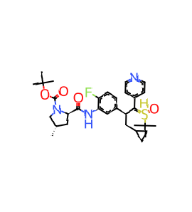 C[C@H]1C[C@H](C(=O)Nc2cc(C(CC3CC3)/C(c3ccncc3)=[SH](=O)\C(C)(C)C)ccc2F)N(C(=O)OC(C)(C)C)C1